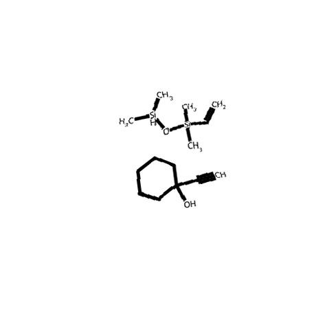 C#CC1(O)CCCCC1.C=C[Si](C)(C)O[SiH](C)C